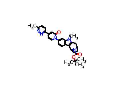 Cc1ccc(-c2ccn(-c3ccc4c5c(n(C)c4c3)CC3CCC5N3C(=O)OC(C)(C)C)c(=O)c2)nn1